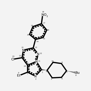 CCc1nc([C@H]2CC[C@@H](C(C)(C)C)CC2)n2nc(-c3ccc([N+](=O)[O-])cc3)nc(Cl)c12